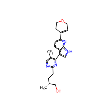 C[C@@H](CO)CCc1ncc(C(F)(F)F)c(-c2c[nH]c3nc(C4=CCOCC4)ccc23)n1